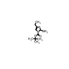 CCC1=CN(C(=O)OC(C)(C)C)C(N)S1